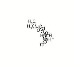 CCCCN(CC)CC1CCCCN1C(=O)c1ccc(C(=O)NC(C)c2nc3cc(Cl)ccc3[nH]2)cc1Cl